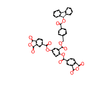 O=C(Oc1ccc(OC(=O)c2ccc3c(c2)C(=O)OC3=O)c(C(=O)OCc2ccc(C(=O)OC3c4ccccc4-c4ccccc43)cc2)c1)c1ccc2c(c1)C(=O)OC2=O